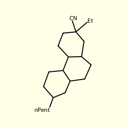 CCCCCC1CCC2C(CCC3CC(C#N)(CC)CCC32)C1